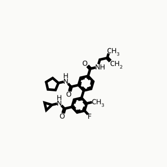 C=C(C)CNC(=O)c1ccc(-c2cc(C(=O)NC3CC3)cc(F)c2C)c(C(=O)NC2CCCC2)c1